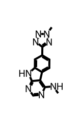 CNc1ncnc2[nH]c3cc(-c4nnn(C)n4)ccc3c12